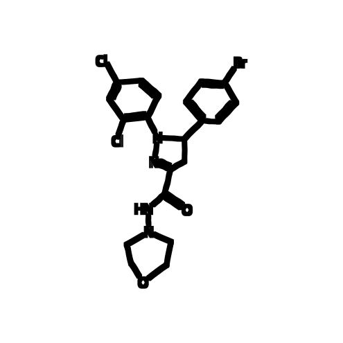 O=C(NN1CCOCC1)C1=NN(c2ccc(Cl)cc2Cl)C(c2ccc(Br)cc2)C1